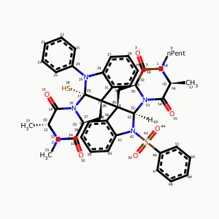 CCCCCN1C(=O)[C@@]23C[C@]4([C@]56C[C@@]78SS[C@@](C)(C(=O)N7[C@@]5(S)N(c5ccccc5)c5ccccc56)N(C)C8=O)c5ccccc5N(S(=O)(=O)c5ccccc5)[C@@H]4N2C(=O)[C@]1(C)SS3